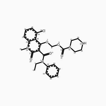 CCN(C(=O)c1c(OCOC(=O)N2CCNCC2)c2c(Cl)cccc2n(C)c1=O)c1ccccc1